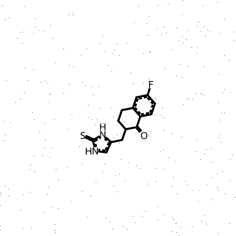 O=C1c2ccc(F)cc2CCC1Cc1c[nH]c(=S)[nH]1